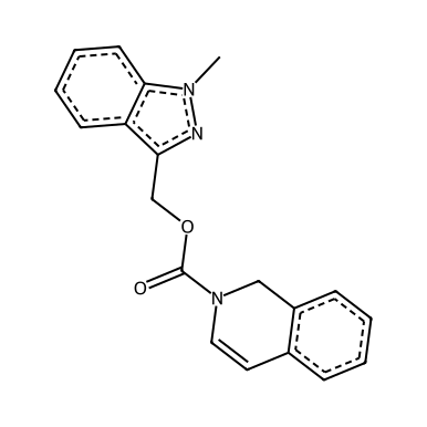 Cn1nc(COC(=O)N2C=Cc3ccccc3C2)c2ccccc21